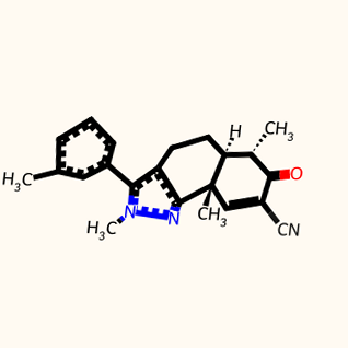 Cc1cccc(-c2c3c(nn2C)[C@@]2(C)C=C(C#N)C(=O)[C@@H](C)[C@@H]2CC3)c1